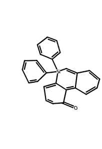 O=C1C=CC=C2C1=c1ccccc1=C[Si]2(c1ccccc1)c1ccccc1